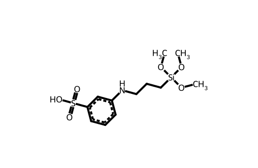 CO[Si](CCCNc1cccc(S(=O)(=O)O)c1)(OC)OC